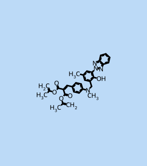 C=C(C)OC(=O)C(=Cc1ccc(N(C)Cc2cc(C)cc(-n3nc4ccccc4n3)c2O)cc1)C(=O)OC(=C)C